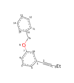 CCC#Cc1cccc(OCc2ccccc2)c1